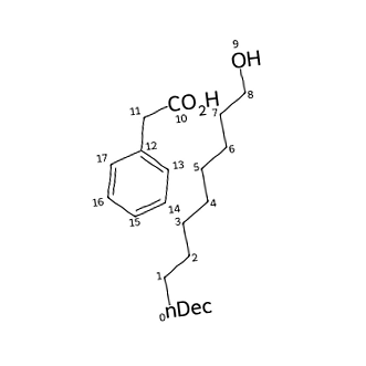 CCCCCCCCCCCCCCCCCCO.O=C(O)Cc1ccccc1